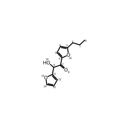 CCCc1ccc(C(=O)C(O)c2ccco2)o1